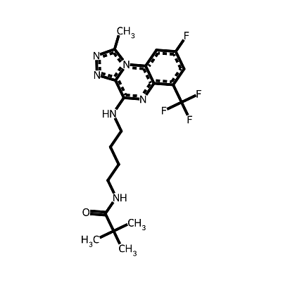 Cc1nnc2c(NCCCCNC(=O)C(C)(C)C)nc3c(C(F)(F)F)cc(F)cc3n12